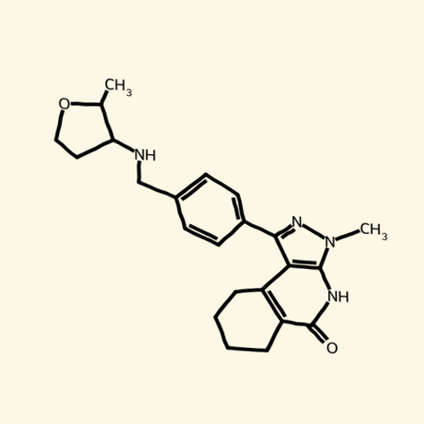 CC1OCCC1NCc1ccc(-c2nn(C)c3[nH]c(=O)c4c(c23)CCCC4)cc1